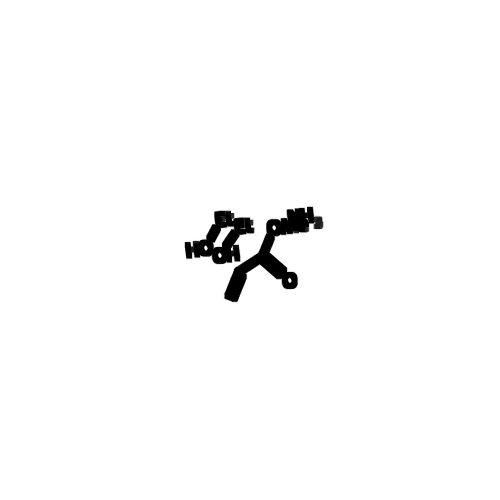 C=CC(=O)OC.CCO.CCO.N